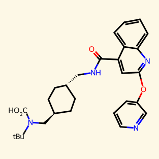 CC(C)(C)N(C[C@H]1CC[C@H](CNC(=O)c2cc(Oc3cccnc3)nc3ccccc23)CC1)C(=O)O